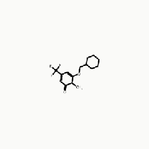 CC1C(=O)C=C(C(F)(F)F)C=C1OCC1CCCCC1